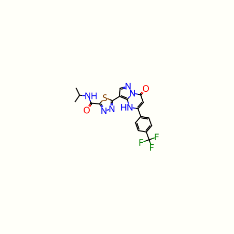 CC(C)NC(=O)c1nnc(-c2cnn3c(=O)cc(-c4ccc(C(F)(F)F)cc4)[nH]c23)s1